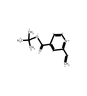 C=Cc1cc(C(=O)OC(C)(C)C)ccn1